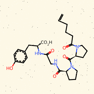 C=CCCCC(=O)N1CCC[C@H]1C(=O)N1CCC[C@H]1C(=O)NCC(=O)N[C@@H](Cc1ccc(O)cc1)C(=O)O